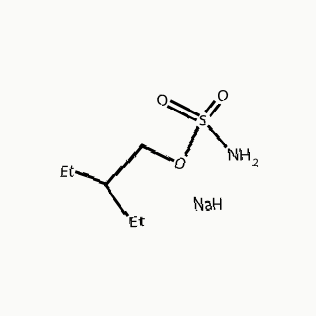 CCC(CC)COS(N)(=O)=O.[NaH]